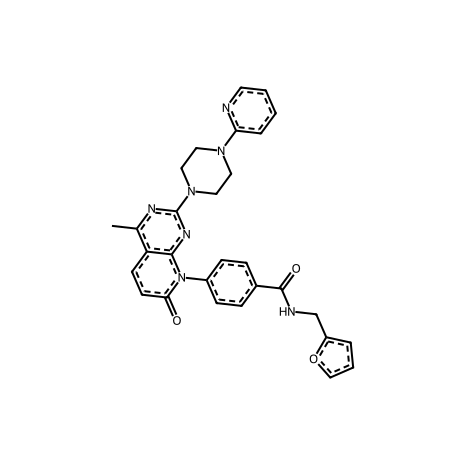 Cc1nc(N2CCN(c3ccccn3)CC2)nc2c1ccc(=O)n2-c1ccc(C(=O)NCc2ccco2)cc1